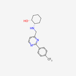 O[C@@H]1CCCC[C@@H]1NCc1ccnc(-c2ccc(C(F)(F)F)cc2)n1